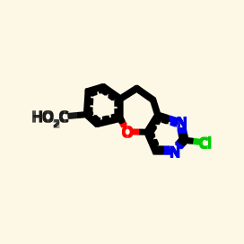 O=C(O)c1ccc2c(c1)Oc1cnc(Cl)nc1CC2